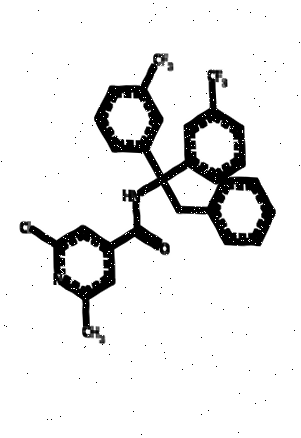 Cc1cc(C(=O)NC(Cc2ccccc2)(c2cccc(C(F)(F)F)c2)c2cccc(C(F)(F)F)c2)cc(Cl)n1